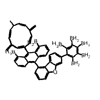 Bc1c(B)c(B)c(-c2ccc3c(c2)oc2cccc(-c4c5cccc(B)c5c(C5=C/C(=C)/C=C\C(C)/C=C\C(=C)/C=C\5)c5c(B)cccc45)c23)c(B)c1B